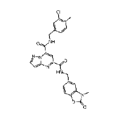 Cc1ccc(CNC(=O)c2cc(C(=O)NCc3ccc4oc(=O)n(C)c4c3)nc3ccnn23)cc1Cl